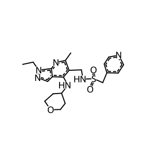 CCn1ncc2c(NC3CCOCC3)c(CNS(=O)(=O)Cc3ccncc3)c(C)nc21